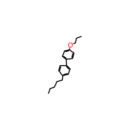 CCCCCc1ccc(-c2ccc(OCCC)cc2)cc1